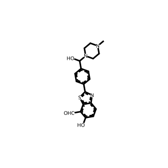 CN1CCN(C(O)c2ccc(-c3nc4ccc(O)c(C=O)c4s3)cc2)CC1